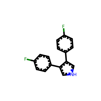 Fc1ccc(-c2c[nH]cc2-c2ccc(F)cc2)cc1